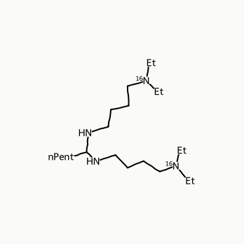 CCCCCC(NCCCC[16N](CC)CC)NCCCC[16N](CC)CC